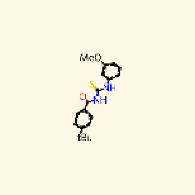 COc1cccc(NC(=S)NC(=O)c2ccc(C(C)(C)C)cc2)c1